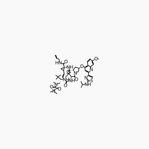 C=CCNC(=O)[C@@]1(NC(=O)[C@@H]2C[C@@H](Oc3cc(-c4csc(NC(C)C)n4)nc4cc(OC)ccc34)CN2C(=O)[C@@H](NC(=O)N[C@H](CN(C)S(=O)(=O)N(C)C)C(C)(C)C)C(C)(C)C)CC1C=C